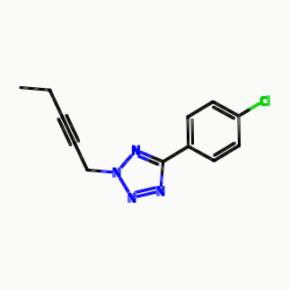 CCC#CCn1nnc(-c2ccc(Cl)cc2)n1